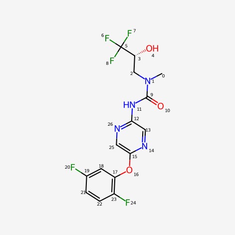 CN(C[C@@H](O)C(F)(F)F)C(=O)Nc1cnc(Oc2cc(F)ccc2F)cn1